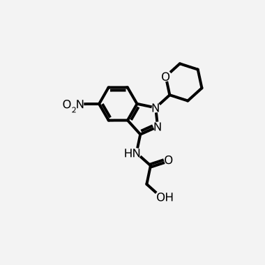 O=C(CO)Nc1nn(C2CCCCO2)c2ccc([N+](=O)[O-])cc12